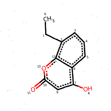 CCc1cccc2c(O)cc(=O)oc12